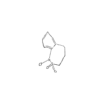 O=S1(=O)CCCc2ccccc2N1Cl